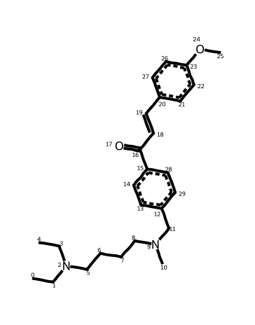 CCN(CC)CCCCN(C)Cc1ccc(C(=O)C=Cc2ccc(OC)cc2)cc1